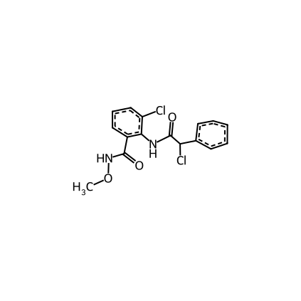 CONC(=O)c1cccc(Cl)c1NC(=O)C(Cl)c1ccccc1